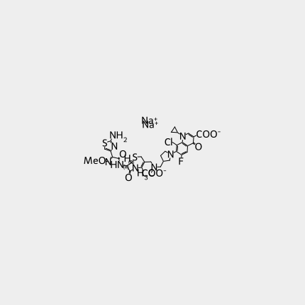 CON=C(C(=O)N[C@@H]1C(=O)N2C(C(=O)[O-])=C(CN(C)CC3CCN(c4c(F)cc5c(=O)c(C(=O)[O-])cn(C6CC6)c5c4Cl)C3)CS[C@H]12)c1csc(N)n1.[Na+].[Na+]